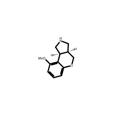 COc1cccc2c1[C@H]1CNC[C@H]1CO2